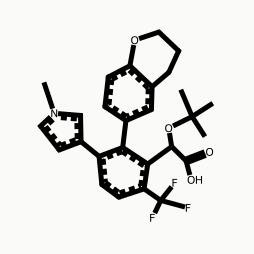 Cn1ccc(-c2ccc(C(F)(F)F)c(C(OC(C)(C)C)C(=O)O)c2-c2ccc3c(c2)CCCO3)c1